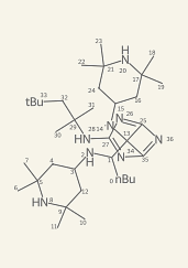 [CH2]CCCC(NC1CC(C)(C)NC(C)(C)C1)C1([N]C2CC(C)(C)NC(C)(C)C2)C2=NC(NC(C)(C)CC(C)(C)C)=NC1=N2